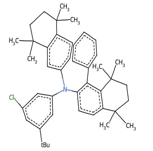 CC(C)(C)c1cc(Cl)cc(N(c2ccc3c(c2)C(C)(C)CCC3(C)C)c2ccc3c(c2-c2ccccc2)C(C)(C)CCC3(C)C)c1